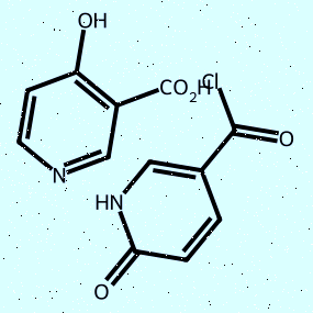 O=C(Cl)c1ccc(=O)[nH]c1.O=C(O)c1cnccc1O